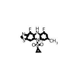 Cc1ccc(Nc2c(NS(=O)(=O)C3CC3)cc3scnc3c2F)c(F)c1